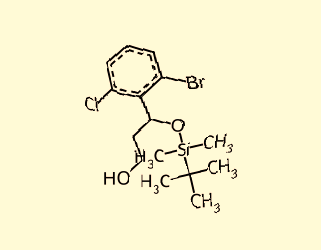 CC(C)(C)[Si](C)(C)OC(CCO)c1c(Cl)cccc1Br